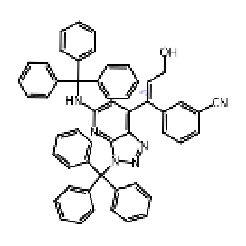 N#Cc1cccc(/C(=C\CO)c2cc(NC(c3ccccc3)(c3ccccc3)c3ccccc3)nc3c2nnn3C(c2ccccc2)(c2ccccc2)c2ccccc2)c1